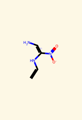 C=CN/C(=C\N)[N+](=O)[O-]